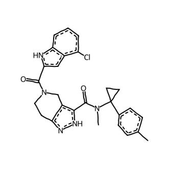 Cc1ccc(C2(N(C)C(=O)c3[nH]nc4c3CN(C(=O)c3cc5c(Cl)cccc5[nH]3)CC4)CC2)cc1